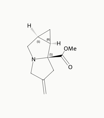 C=C1CN2C[C@H]3C[C@H]3[C@]2(C(=O)OC)C1